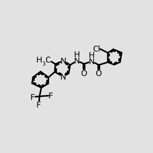 Cc1nc(NC(=O)NC(=O)c2ccccc2Cl)cnc1-c1cccc(C(F)(F)F)c1